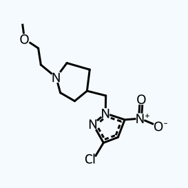 COCCN1CCC(Cn2nc(Cl)cc2[N+](=O)[O-])CC1